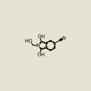 N#Cc1ccc2c(O)n(CO)c(O)c2c1